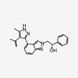 C=C(C)c1c(-c2cccc3nn(C[C@H](O)c4ccccc4)cc23)n[nH]c1C